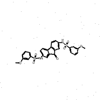 COc1cccc(S(=O)(=O)Nc2ccc3c(c2)C(=O)c2cc(NS(=O)(=O)c4cccc(OC)c4)ccc2-3)c1